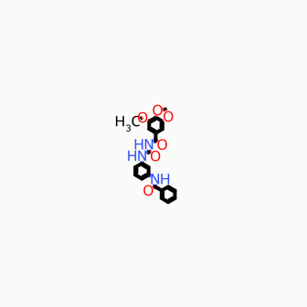 COc1cc(C(=O)NC(=O)Nc2cccc(NC(=O)c3ccccc3)c2)cc2c1OCO2